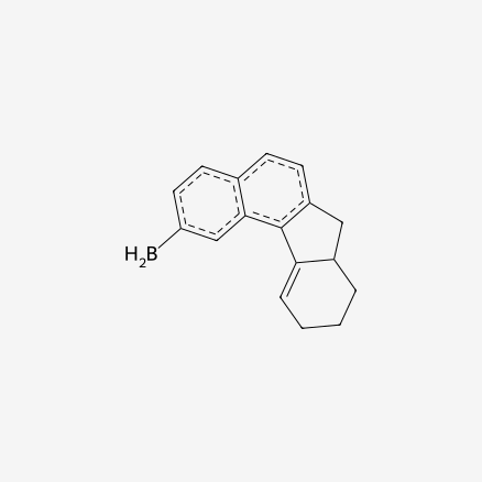 Bc1ccc2ccc3c(c2c1)C1=CCCCC1C3